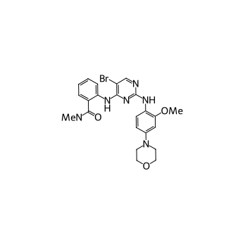 CNC(=O)c1ccccc1Nc1nc(Nc2ccc(N3CCOCC3)cc2OC)ncc1Br